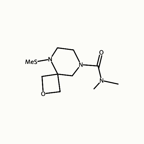 CSN1CCN(C(=O)N(C)C)CC12COC2